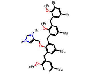 CCCC[n+]1cn(C)cc1COc1c(CC(/C=C(\C)C(C)(C)C)=C(/C)OCCC)cc(C(C)(C)C)cc1Cc1cc(C(C)(C)C)cc(Cc2cc(C(C)(C)C)cc(CC)c2OCCC)c1OCCC